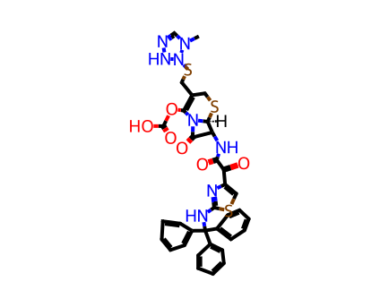 CN1C=NNN1SCC1=C(OC(=O)O)N2C(=O)C(NC(=O)C(=O)c3csc(NC(c4ccccc4)(c4ccccc4)c4ccccc4)n3)[C@@H]2SC1